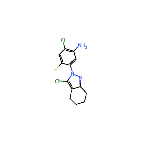 Nc1cc(-n2nc3c(c2Cl)CCCC3)c(F)cc1Cl